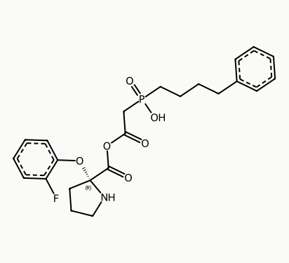 O=C(CP(=O)(O)CCCCc1ccccc1)OC(=O)[C@]1(Oc2ccccc2F)CCCN1